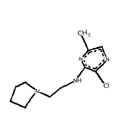 Cc1cnc(Cl)c(NCCN2CCCC2)n1